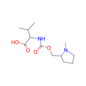 CC(C)C(NC(=O)OCC1CCCN1C)C(=O)O